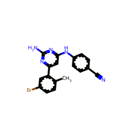 Cc1ccc(Br)cc1-c1cc(Nc2ccc(C#N)cc2)nc(N)n1